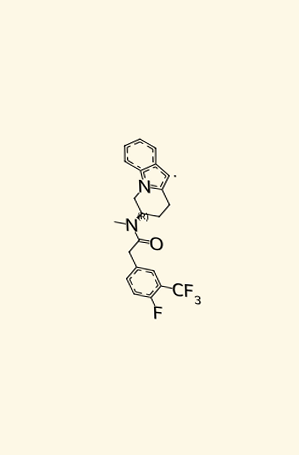 CN(C(=O)Cc1ccc(F)c(C(F)(F)F)c1)[C@@H]1CCc2[c]c3ccccc3n2C1